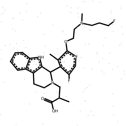 Cc1c(OCCN(C)CCCF)ncc(F)c1C1c2[nH]c3ccccc3c2CCN1CC(C)C(=O)O